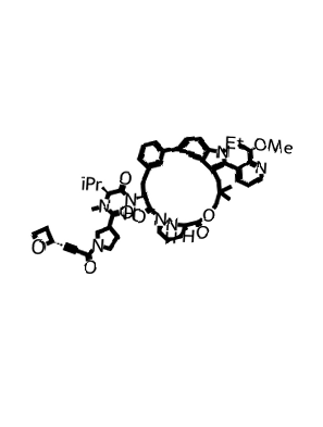 CCn1c(-c2cccnc2[C@H](C)OC)c2c3cc(ccc31)-c1cccc(c1)C[C@H](NC(=O)[C@H](C(C)C)N(C)C(=O)C1CCN(C(=O)C#C[C@H]3CCO3)C1)C(=O)N1CCC[C@H](N1)C(=O)OCC(C)(C)C2